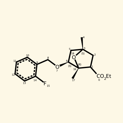 CCOC(=O)C1C[C@@]2(C)C[C@H](OCc3ccccc3F)[C@]1(C)O2